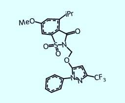 COc1cc(C(C)C)c2c(c1)S(=O)(=O)N(COc1cc(C(F)(F)F)nn1-c1ccccc1)C2=O